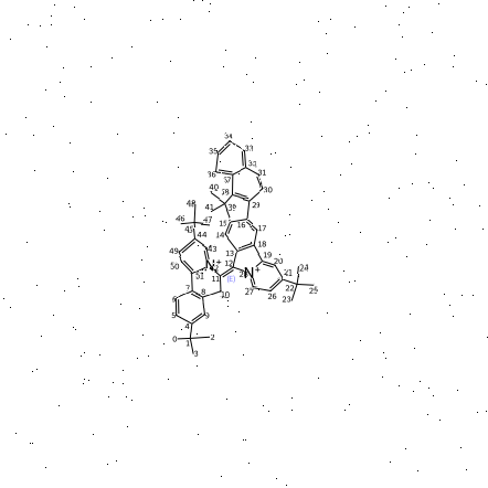 CC(C)(C)c1ccc2c(c1)C/C(=C1/c3cc4c(cc3-c3cc(C(C)(C)C)cc[n+]31)-c1ccc3ccccc3c1C4(C)C)[n+]1cc(C(C)(C)C)ccc1-2